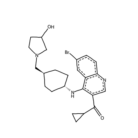 O=C(c1cnc2ccc(Br)cc2c1N[C@H]1CC[C@H](CN2CCC(O)C2)CC1)C1CC1